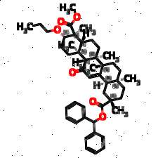 CCCO[C@H]1CC[C@@]2(C)[C@@H](CC[C@]3(C)[C@@H]2C(=O)C=C2[C@@H]4C[C@@](C)(C(=O)OC(c5ccccc5)c5ccccc5)CC[C@]4(C)CC[C@]23C)[C@]1(C)C(=O)OC